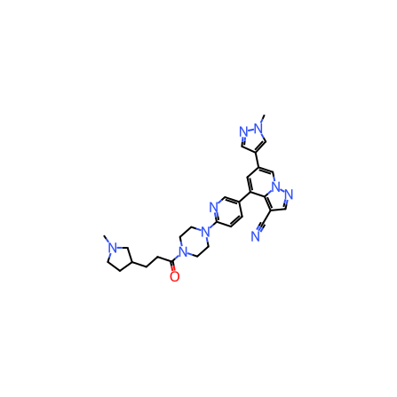 CN1CCC(CCC(=O)N2CCN(c3ccc(-c4cc(-c5cnn(C)c5)cn5ncc(C#N)c45)cn3)CC2)C1